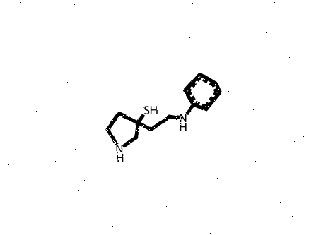 SC1(CCNc2ccccc2)CCNC1